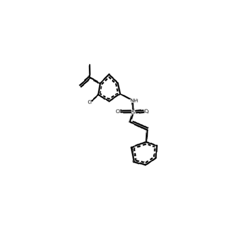 C=C(C)c1ccc(NS(=O)(=O)/C=C/c2ccccc2)cc1Cl